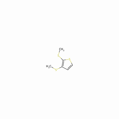 CSc1ccsc1SC